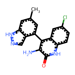 Cc1cc(-c2c(N)c(=O)[nH]c3ccc(Cl)cc23)c2cn[nH]c2c1